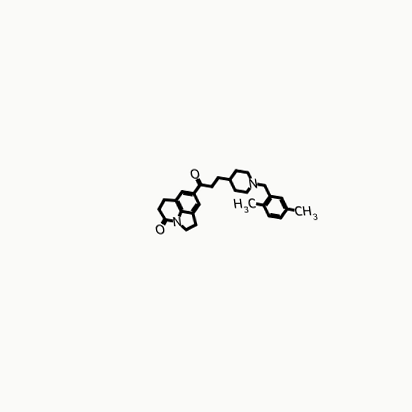 Cc1ccc(C)c(CN2CCC(CCC(=O)c3cc4c5c(c3)CCN5C(=O)CC4)CC2)c1